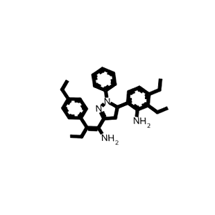 CCC(=C(N)C1=NN(c2ccccc2)C(c2ccc(CC)c(CC)c2N)C1)c1ccc(CC)cc1